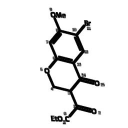 CCOC(=O)C(=O)C1COc2cc(OC)c(Br)cc2C1=O